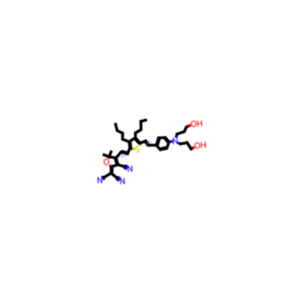 CCCCc1c(/C=C/C2=C(C#N)C(=C(C#N)C#N)OC2(C)C)sc(/C=C/c2ccc(N(CCCO)CCCO)cc2)c1CCCC